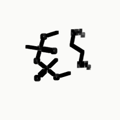 COP(C)(=O)OP(C)(=O)OC.NCCN